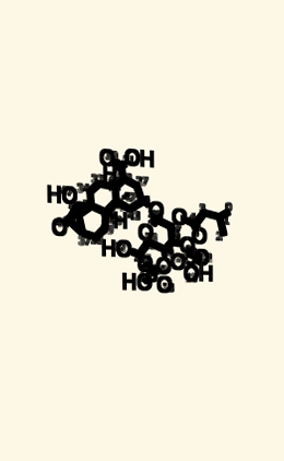 CC(C)CC(=O)O[C@H]1C(OS(=O)(=O)O)[C@@H](OS(=O)(=O)O)C(CO)O[C@@H]1O[C@@H]1CC(C(=O)O)[C@H]2CCC34CC(CC[C@H]3[C@]2(C)C1)C(=O)C4O